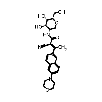 C/C(=C(/C#N)C(=O)N[C@H]1CO[C@H](CO)[C@@H](O)[C@@H]1O)c1ccc2cc(N3CCOCC3)ccc2c1